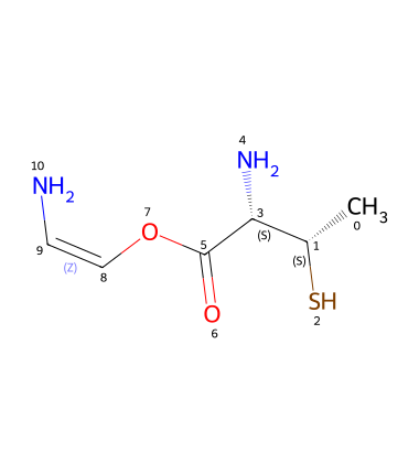 C[C@H](S)[C@@H](N)C(=O)O/C=C\N